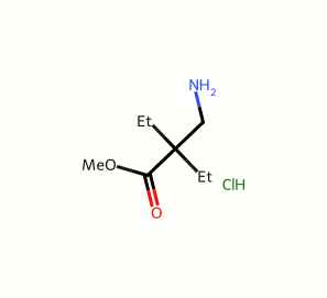 CCC(CC)(CN)C(=O)OC.Cl